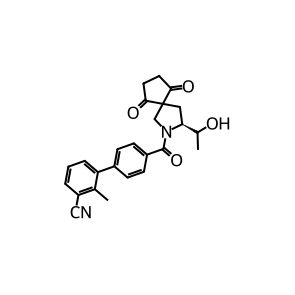 Cc1c(C#N)cccc1-c1ccc(C(=O)N2CC3(C[C@H]2C(C)O)C(=O)CCC3=O)cc1